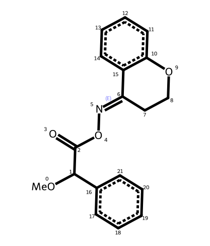 COC(C(=O)O/N=C1\CCOc2ccccc21)c1ccccc1